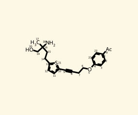 CC(=O)c1ccc(OCCC#Cc2ccc(CCC(C)(N)CO)s2)cc1